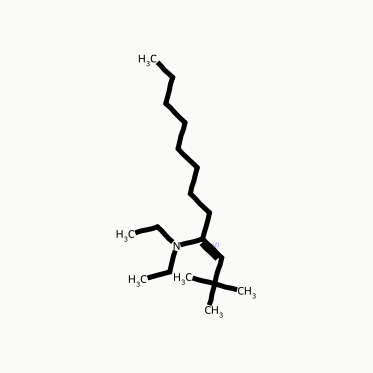 CCCCCCCC/C(=C/C(C)(C)C)N(CC)CC